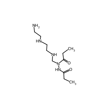 CCC(=O)NN(CNCCNCCN)C(=O)CC